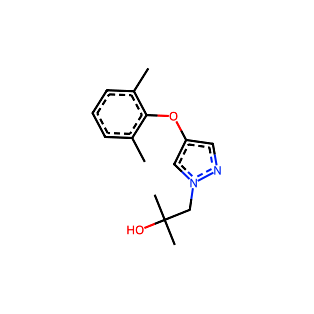 Cc1cccc(C)c1Oc1cnn(CC(C)(C)O)c1